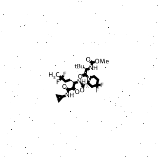 COC(=O)N[C@H](C(=O)N1CCC(F)(F)C[C@@H]1C(=O)N[C@@H](CCC(C)(F)F)C(=O)C(=O)NC1CC1)C(C)(C)C